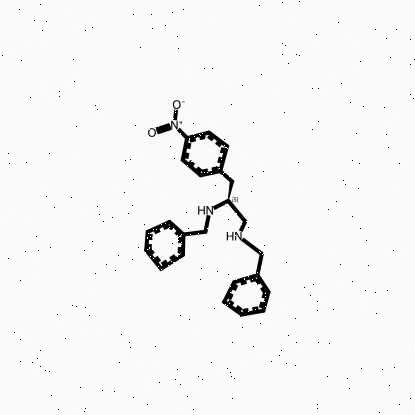 O=[N+]([O-])c1ccc(C[C@@H](CNCc2ccccc2)NCc2ccccc2)cc1